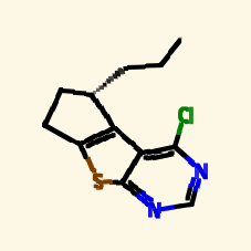 CCC[C@H]1CCc2sc3ncnc(Cl)c3c21